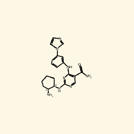 NC(=O)c1cnc(N[C@@H]2CCCC[C@@H]2N)nc1Nc1cccc(-n2ccnc2)c1